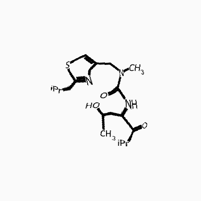 CC(C)C(=O)C(NC(=O)N(C)Cc1csc(C(C)C)n1)C(C)O